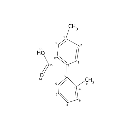 Cc1ccc(-c2ccccc2C)cc1.O=CO